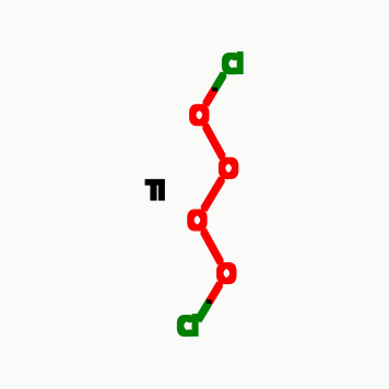 ClOOOOCl.[Ti]